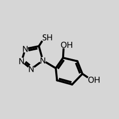 Oc1ccc(-n2nnnc2S)c(O)c1